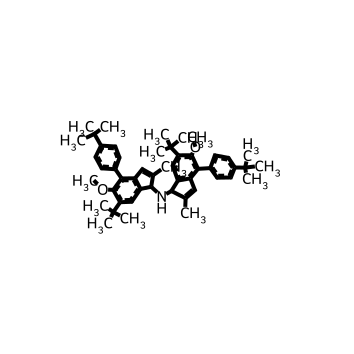 COc1c(C(C)(C)C)cc2c(c1-c1ccc(C(C)(C)C)cc1)C=C(C)C2NC1C(C)=Cc2c1cc(C(C)(C)C)c(OC)c2-c1ccc(C(C)(C)C)cc1